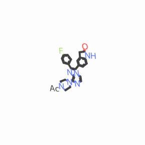 CC(=O)N1CCN(c2nccn3c(-c4ccc5c(c4)CC(=O)N5)c(-c4ccc(F)cc4)nc23)CC1